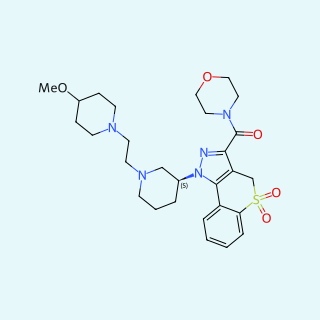 COC1CCN(CCN2CCC[C@H](n3nc(C(=O)N4CCOCC4)c4c3-c3ccccc3S(=O)(=O)C4)C2)CC1